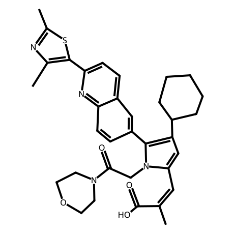 CC(=Cc1cc(C2CCCCC2)c(-c2ccc3nc(-c4sc(C)nc4C)ccc3c2)n1CC(=O)N1CCOCC1)C(=O)O